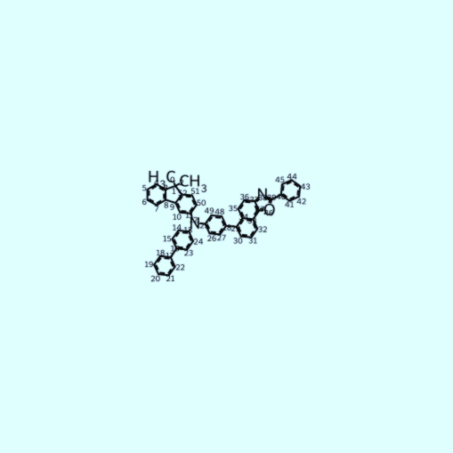 CC1(C)c2ccccc2-c2cc(N(c3ccc(-c4ccccc4)cc3)c3ccc(-c4cccc5c4ccc4nc(-c6ccccc6)oc45)cc3)ccc21